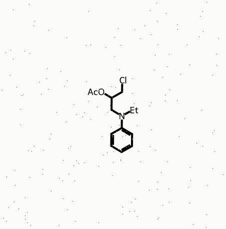 CCN(CC(CCl)OC(C)=O)c1ccccc1